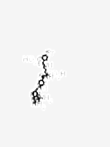 CC(C)c1ccc(C(=O)NCCC[C@H](NC(=O)c2ccc(NCc3cnc4nc(N)nc(N)c4n3)cc2)C(=O)O)c(C(=O)O)c1